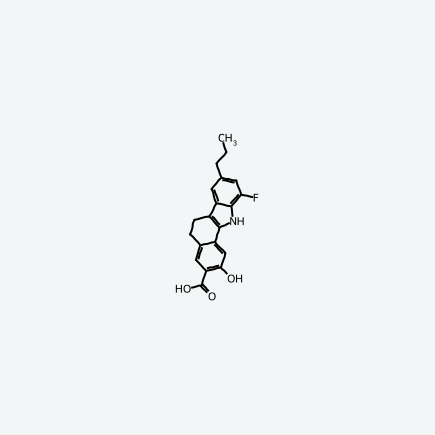 CCCc1cc(F)c2[nH]c3c(c2c1)CCc1cc(C(=O)O)c(O)cc1-3